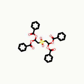 O=C(OC(CS(=O)(=O)CC(OC(=O)c1ccccc1)OC(=O)c1ccccc1)OC(=O)c1ccccc1)c1ccccc1